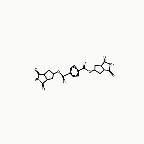 O=C(OC1CC2C(=O)NC(=O)C2C1)c1ccc(C(=O)OC2CC3C(=O)NC(=O)C3C2)cc1